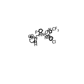 Cn1nc([C@H](c2ccc(Cl)cc2)[C@H](N)C(=O)Nc2cccc(F)c2CC[C@H]2CN[C@@H]3CCCS(=O)(=O)N2C3)cc1C(F)(F)F